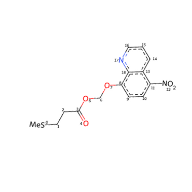 CSCCC(=O)OCOc1ccc([N+](=O)[O-])c2cccnc12